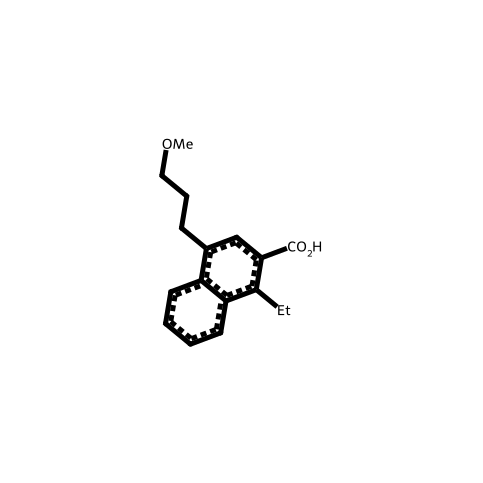 CCc1c(C(=O)O)cc(CCCOC)c2ccccc12